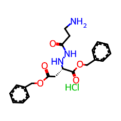 Cl.NCCC(=O)NN[C@@H](CC(=O)OCc1ccccc1)C(=O)OCc1ccccc1